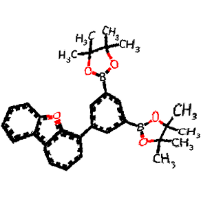 CC1(C)OB(c2cc(B3OC(C)(C)C(C)(C)O3)cc(-c3cccc4c3oc3ccccc34)c2)OC1(C)C